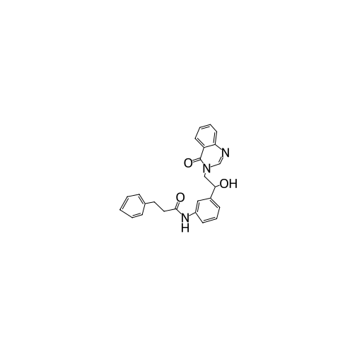 O=C(CCc1ccccc1)Nc1cccc(C(O)Cn2cnc3ccccc3c2=O)c1